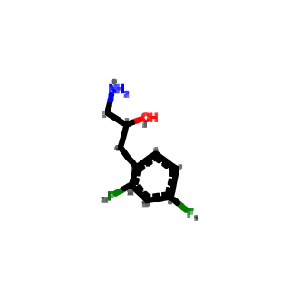 NCC(O)Cc1ccc(F)cc1F